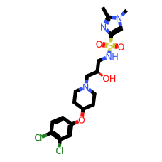 Cc1nc(S(=O)(=O)NC[C@@H](O)CN2CCC(Oc3ccc(Cl)c(Cl)c3)CC2)cn1C